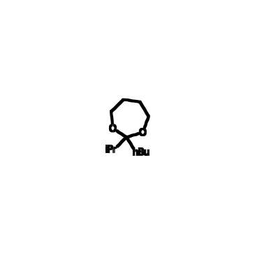 CCCCC1(C(C)C)OCCCCO1